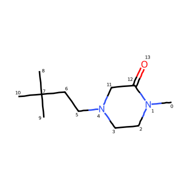 CN1CCN(CCC(C)(C)C)CC1=O